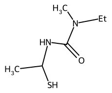 CCN(C)C(=O)NC(C)S